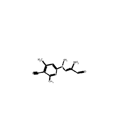 Cc1cc(N(N)/C=C(\N)C=O)nc(C)c1C#N